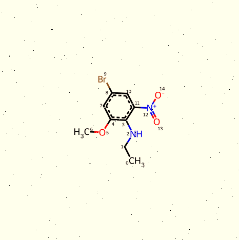 CCNc1c(OC)cc(Br)cc1[N+](=O)[O-]